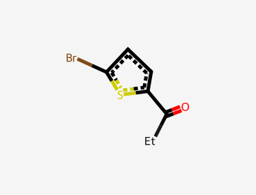 CCC(=O)c1ccc(Br)s1